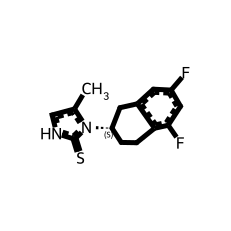 Cc1c[nH]c(=S)n1[C@H]1CCc2c(F)cc(F)cc2C1